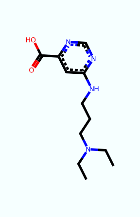 CCN(CC)CCCNc1cc(C(=O)O)ncn1